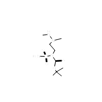 CNN(C)CCN(C(=O)OC(C)(C)C)S(N)(=O)=O